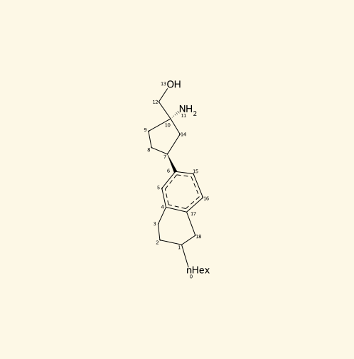 CCCCCCC1CCc2cc([C@H]3CC[C@@](N)(CO)C3)ccc2C1